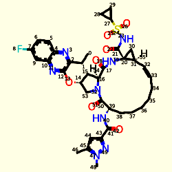 CCc1nc2ccc(F)cc2nc1O[C@@H]1C[C@H]2C(=O)N[C@]3(C(=O)NS(=O)(=O)C4CC4)C[C@H]3/C=C\CCCCC[C@H](NC(=O)c3cc(C)n(C)n3)C(=O)N2C1